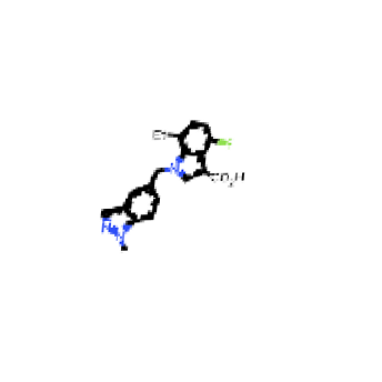 CCc1ccc(F)c2c(C(=O)O)cn(Cc3ccc4c(cnn4C)c3)c12